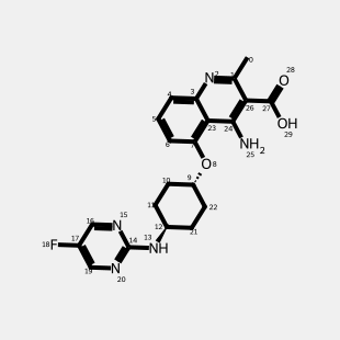 Cc1nc2cccc(O[C@H]3CC[C@H](Nc4ncc(F)cn4)CC3)c2c(N)c1C(=O)O